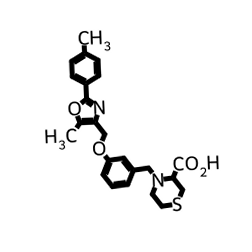 Cc1ccc(-c2nc(COc3cccc(CN4CCSCC4C(=O)O)c3)c(C)o2)cc1